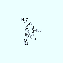 C=CC(=O)OC1C(F)(F)C(C(C)(C)C)OC(OCOCC)(C(F)(F)F)C1(F)F